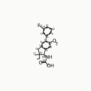 COc1cc2c(cc1-c1cccc(F)c1)CC(C)(C)C2NC(=O)O